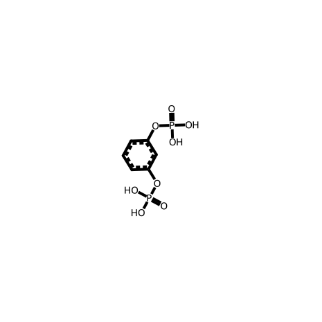 O=P(O)(O)Oc1cccc(OP(=O)(O)O)c1